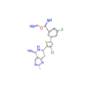 Cc1ncc2c(n1)CC(c1sc(-c3cc(F)cc(C(=N)OC=N)c3)cc1Cl)NC2=N